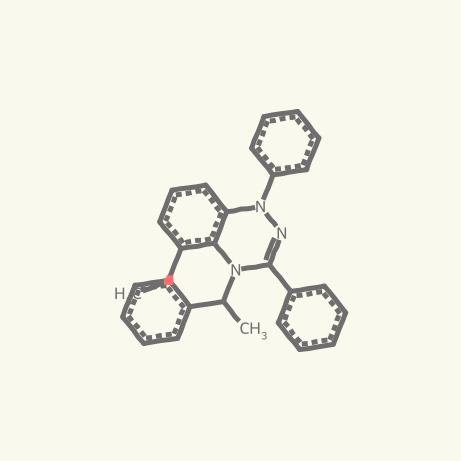 CCc1cccc2c1N(C(C)c1ccccc1)C(c1ccccc1)=NN2c1ccccc1